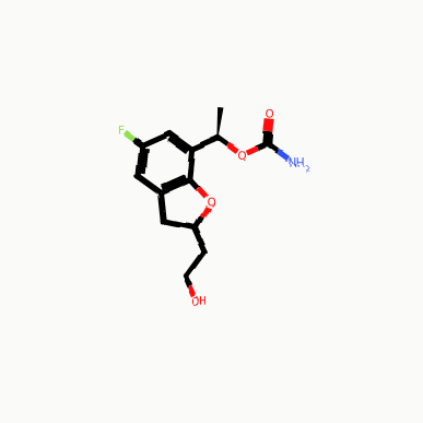 C[C@@H](OC(N)=O)c1cc(F)cc2c1OC(CCO)C2